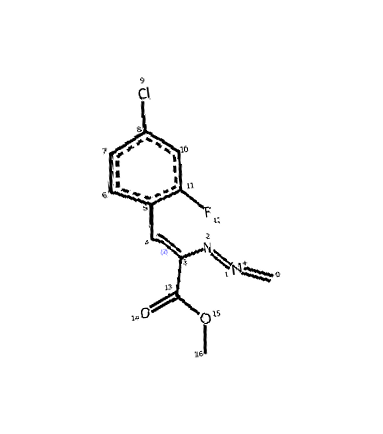 C=[N+]=N/C(=C\c1ccc(Cl)cc1F)C(=O)OC